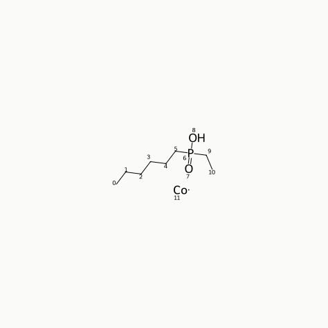 CCCCCCP(=O)(O)CC.[Co]